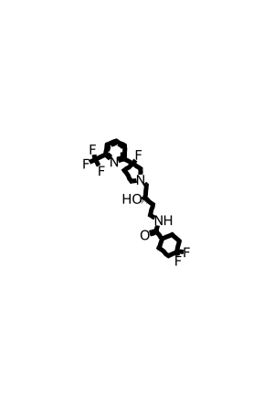 O=C(NCC[C@@H](O)CN1CCC(F)(c2cccc(C(F)(F)F)n2)C1)C1CCC(F)(F)CC1